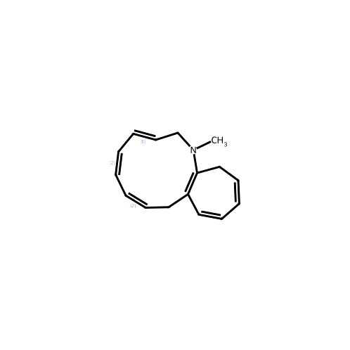 CN1C/C=C/C=C\C=C/CC2=C1CC=CC=C2